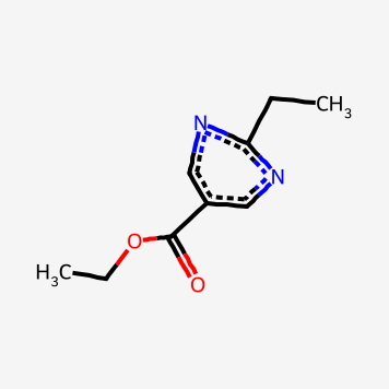 CCOC(=O)c1cnc(CC)nc1